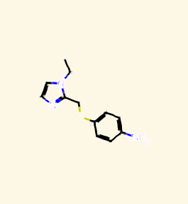 CCn1ccnc1CSc1ccc(N)cc1